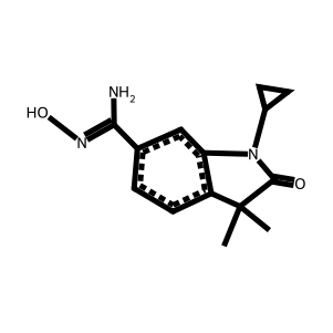 CC1(C)C(=O)N(C2CC2)c2cc(/C(N)=N/O)ccc21